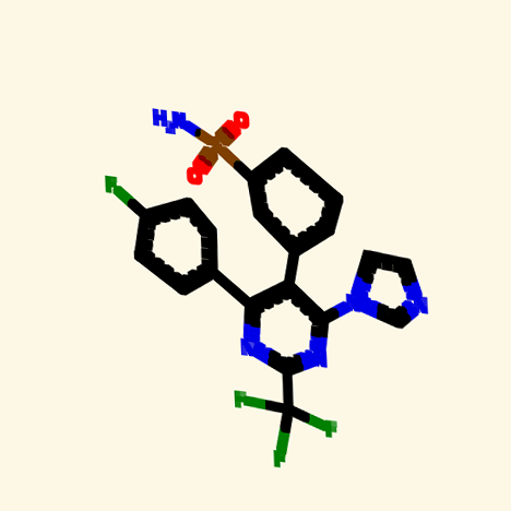 NS(=O)(=O)c1cccc(-c2c(-c3ccc(F)cc3)nc(C(F)(F)F)nc2-n2ccnc2)c1